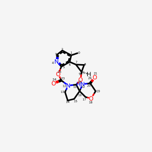 Cc1ccnc2c1C1C[C@H]1OC1N(CCCC13COCC(=O)N3)C(=O)O2